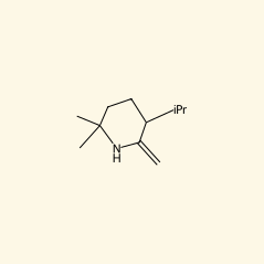 C=C1NC(C)(C)CCC1C(C)C